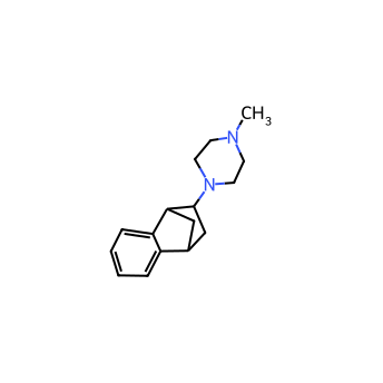 CN1CCN(C2CC3CC2c2ccccc23)CC1